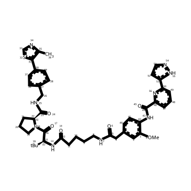 COc1cc(CC(=O)NCCCCC(=O)N[C@H](C(=O)N2CCC[C@H]2C(=O)NCc2ccc(-c3scnc3C)cc2)C(C)(C)C)ccc1NC(=O)c1cccc(-c2ccn[nH]2)n1